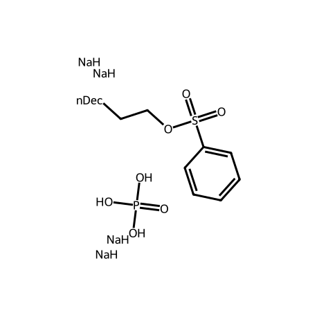 CCCCCCCCCCCCOS(=O)(=O)c1ccccc1.O=P(O)(O)O.[NaH].[NaH].[NaH].[NaH]